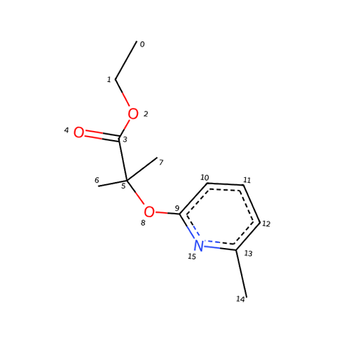 CCOC(=O)C(C)(C)Oc1cccc(C)n1